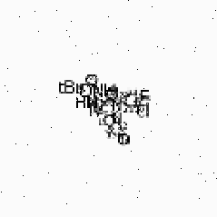 CC(C)(C)OC(=O)Nc1[nH]nc(C2CC3CC(=O)CC3C2)c1C(=O)Nc1ccc(F)c(Cl)c1